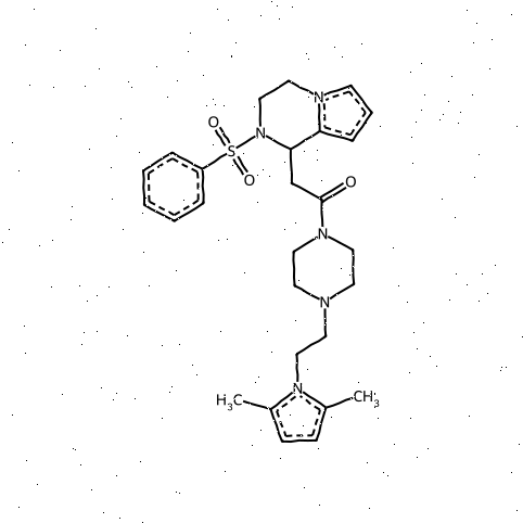 Cc1ccc(C)n1CCN1CCN(C(=O)CC2c3cccn3CCN2S(=O)(=O)c2ccccc2)CC1